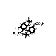 O=C(O)Oc1cc2c(cc1Cl)OC(F)(F)O2.O=C(O)Oc1ccc2c(c1)OC(F)(F)O2